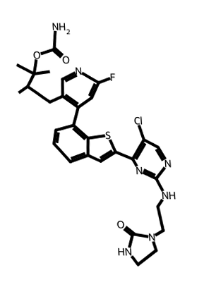 CC(Cc1cnc(F)cc1-c1cccc2cc(-c3nc(NCCN4CCNC4=O)ncc3Cl)sc12)C(C)(C)OC(N)=O